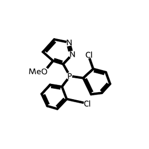 COc1ccnnc1P(c1ccccc1Cl)c1ccccc1Cl